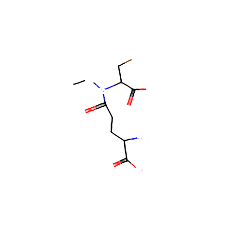 C[Se]N(C(=O)CCC(N)C(=O)O)C(CS)C(=O)O